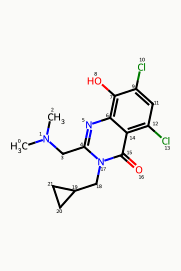 CN(C)Cc1nc2c(O)c(Cl)cc(Cl)c2c(=O)n1CC1CC1